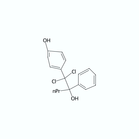 CCCC(O)(c1ccccc1)C(Cl)(Cl)c1ccc(O)cc1